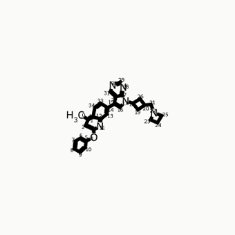 Cc1cc(Oc2ccccc2)nc2cc(-c3cn(C4CC(CN5CCC5)C4)c4ncncc34)ccc12